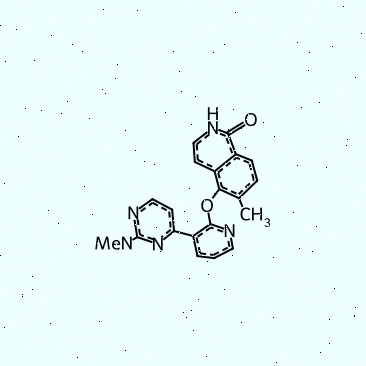 CNc1nccc(-c2cccnc2Oc2c(C)ccc3c(=O)[nH]ccc23)n1